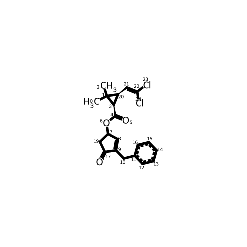 CC1(C)[C@H](C(=O)OC2C=C(Cc3ccccc3)C(=O)C2)[C@@H]1C=C(Cl)Cl